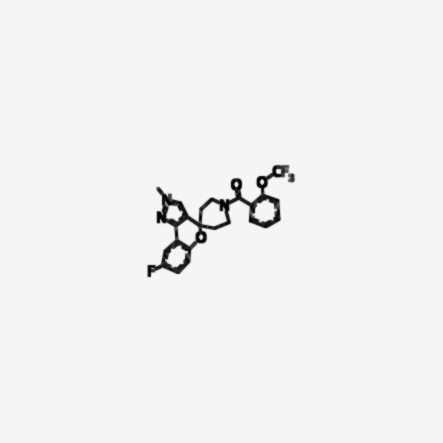 Cn1cc2c(n1)-c1cc(F)ccc1OC21CCN(C(=O)c2ccccc2OC(F)(F)F)CC1